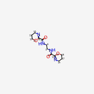 O=C(NCCNC(=O)C1=NCCCO1)C1=NCCCO1